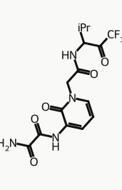 CC(C)C(NC(=O)Cn1cccc(NC(=O)C(N)=O)c1=O)C(=O)C(F)(F)F